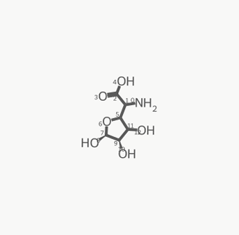 NC(C(=O)O)C1O[C@H](O)[C@H](O)C1O